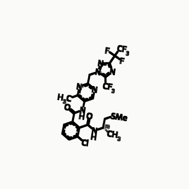 CSC[C@H](C)NC(=O)c1c(Cl)cccc1C(=O)Nc1cnc(Cn2nc(C(F)(F)C(F)(F)F)nc2C(F)(F)F)nc1C